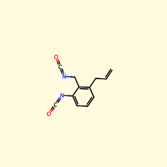 C=CCc1cccc(N=C=O)c1CN=C=O